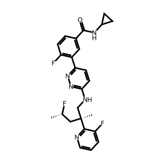 C[C@H](F)C[C@@](C)(CNc1ccc(-c2cc(C(=O)NC3CC3)ccc2F)nn1)c1ncccc1F